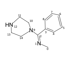 C/N=C(\c1ccccc1)N1CCNCC1